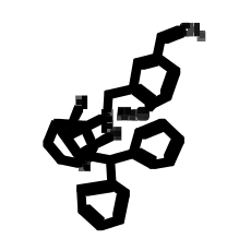 C=Cc1ccc(OC)c(CN[C@H]2C3CCN(CC3)[C@H]2C(c2ccccc2)c2ccccc2)c1